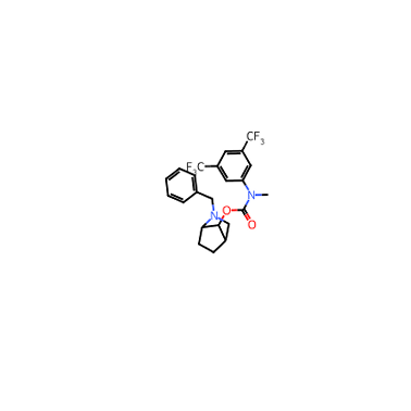 CN(C(=O)OC1C2CCC1N(Cc1ccccc1)C2)c1cc(C(F)(F)F)cc(C(F)(F)F)c1